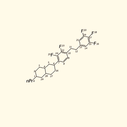 CCCC1CCC2CC(c3ccc(CCc4cc(F)c(F)c(F)c4)c(F)c3F)CCC2C1